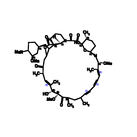 CNC1CC[C@@H](CC2C3CC(=O)C(C)/C=C(\C)[C@@H](O)[C@@H](OC)C(=O)[C@H](C)CC(C)/C=C/C=C/C=C(\C)[C@@H](OC)C[C@@H]4CC[C@@H](C)[C@@](O)(O4)C(=O)C(=O)N4CCC[C@H]2[C@H]4C(=O)O3)C[C@H]1OC